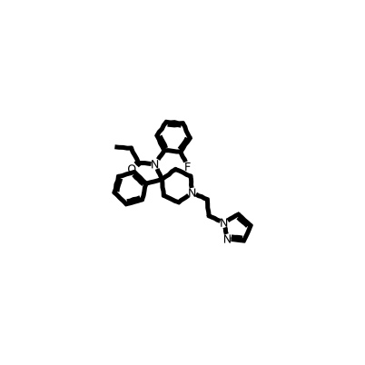 CCC(=O)N(c1ccccc1F)C1(c2ccccc2)CCN(CCn2cccn2)CC1